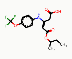 CCC(C)OC(=O)C=C(CC(=O)O)Nc1ccc(OC(F)(F)F)cc1